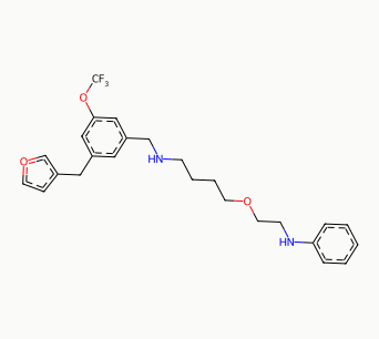 FC(F)(F)Oc1cc(CNCCCCOCCNc2ccccc2)cc(Cc2ccoc2)c1